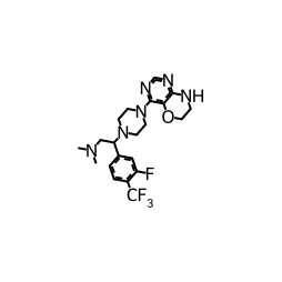 CN(C)CC(c1ccc(C(F)(F)F)c(F)c1)N1CCN(c2ncnc3c2OCCN3)CC1